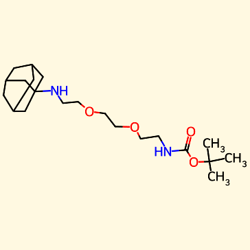 CC(C)(C)OC(=O)NCCOCCOCCNC12CC3CC(CC(C3)C1)C2